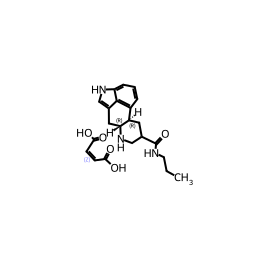 CCCNC(=O)C1CN[C@@H]2Cc3c[nH]c4cccc(c34)[C@H]2C1.O=C(O)/C=C\C(=O)O